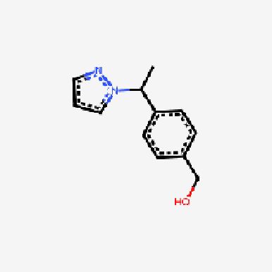 CC(c1ccc(CO)cc1)n1cccn1